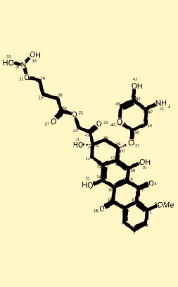 COc1cccc2c1C(=O)c1c(O)c3c(c(O)c1C2=O)C[C@@](O)(C(=O)COC(=O)CCCON(O)O)C[C@@H]3OC1CC(N)C(O)=CO1